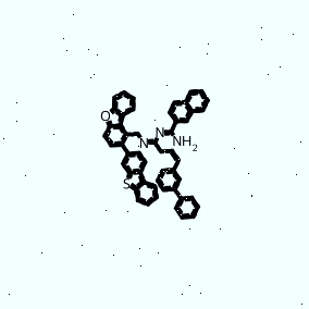 N/C(=N\C(C/C=C\c1cccc(-c2ccccc2)c1)=N/Cc1c(-c2ccc3c(c2)sc2ccccc23)ccc2oc3ccccc3c12)c1ccc2ccccc2c1